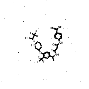 CC(NC(=O)CC(=O)Nc1ccc(C(=N)N)cc1)c1ccc(OC2CCCNC2)c(C(F)(F)F)c1.O=C(O)C(F)(F)F